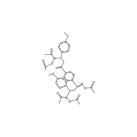 C=C(CC(c1ccc(SC)cc1)N(OC(C)=O)C(C)=O)c1ccc(/C(CC(c2ccc(SC)cc2)N(OC(C)=O)C(C)=O)=N/OC(C)=O)cc1